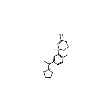 CN(c1ccc(F)c([C@]2(C)COCC(N)=N2)c1)[C@H]1CCCO1